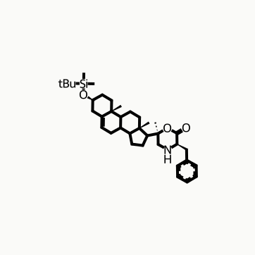 CC(C)(C)[Si](C)(C)O[C@H]1CC[C@@]2(C)C(=CCC3C4CCC([C@]5(C)CN[C@H](Cc6ccccc6)C(=O)O5)[C@@]4(C)CCC32)C1